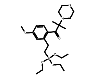 CCO[Si](CCc1cc(SC)ccc1C(=O)C(C)(C)N1CCOCC1)(OCC)OCC